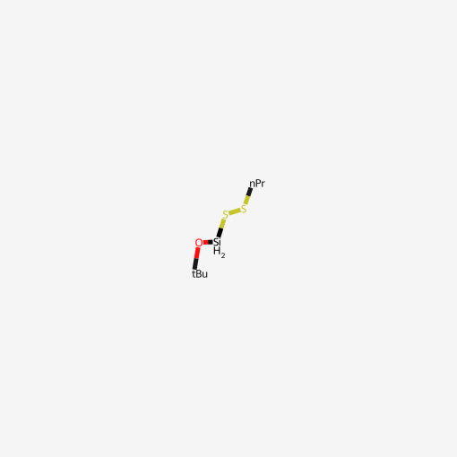 CCCSS[SiH2]OC(C)(C)C